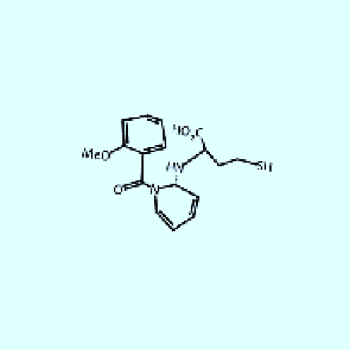 COc1ccccc1C(=O)N1C=CC=C[C@H]1NC(CCS)C(=O)O